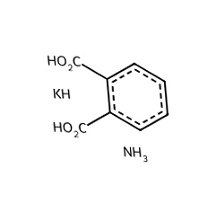 N.O=C(O)c1ccccc1C(=O)O.[KH]